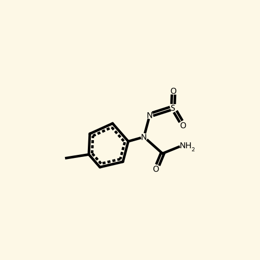 Cc1ccc(N(N=S(=O)=O)C(N)=O)cc1